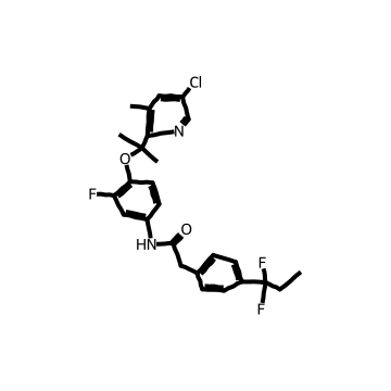 CCC(F)(F)c1ccc(CC(=O)Nc2ccc(OC(C)(C)c3ncc(Cl)cc3C)c(F)c2)cc1